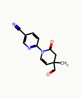 CC1(C=O)C=CN(c2ccc(C#N)cn2)C(=O)C1